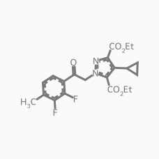 CCOC(=O)c1nn(CC(=O)c2ccc(C)c(F)c2F)c(C(=O)OCC)c1C1CC1